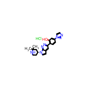 CC1(C)C[C@H](n2ccc3cc(-c4ccc(-n5ccnn5)cc4O)nnc32)CCN1.Cl